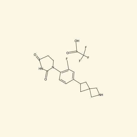 O=C(O)C(F)(F)F.O=C1CCN(c2ccc(C3CC4(CNC4)C3)cc2F)C(=O)N1